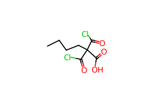 CCCCC(C(=O)O)(C(=O)Cl)C(=O)Cl